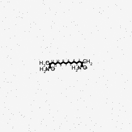 C=C(CCCCCCCCCCCC(=C)C(N)=O)C(N)=O